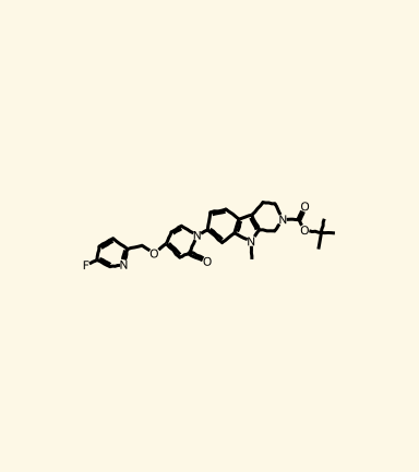 Cn1c2c(c3ccc(-n4ccc(OCc5ccc(F)cn5)cc4=O)cc31)CCN(C(=O)OC(C)(C)C)C2